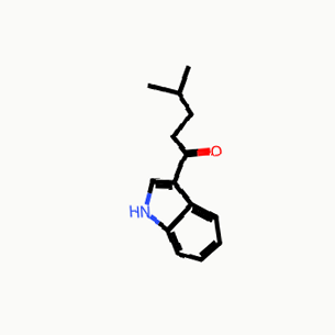 CC(C)CCC(=O)c1c[nH]c2ccccc12